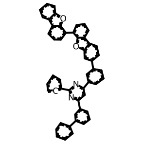 c1ccc(-c2cccc(-c3cc(-c4cccc(-c5ccc6c(c5)oc5c(-c7cccc8c7oc7ccccc78)cccc56)c4)nc(-c4ccccc4)n3)c2)cc1